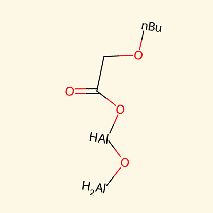 CCCCOCC(=O)[O][AlH][O][AlH2]